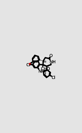 Cc1cccc([C@@H]2CC(=O)NC[C@H](c3cccc(Cl)c3)[C@]2(C=O)c2ccc(Cl)cc2N)c1